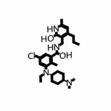 CCCC1=C(CNC(O)c2cc(Cl)cc(N(CC)[C@H]3CC[C@H](N(C)C)CC3)c2C)C(O)NC(C)=C1